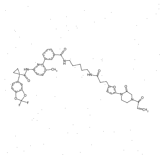 C=CC(=O)N1CCN(c2ccc(CCC(=O)NCCCCCNC(=O)c3cccc(-c4nc(NC(=O)C5(c6ccc7c(c6)OC(F)(F)O7)CC5)ccc4C)c3)o2)C(=O)C1